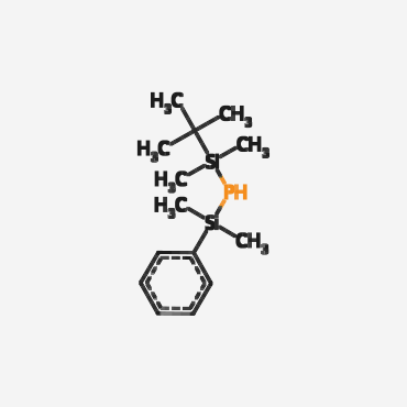 CC(C)(C)[Si](C)(C)P[Si](C)(C)c1ccccc1